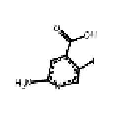 Nc1cc(C(=O)O)c(I)cn1